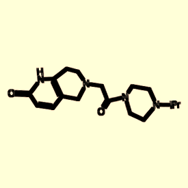 CC(C)N1CCN(C(=O)CN2CCc3[nH]c(=O)ccc3C2)CC1